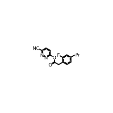 CC(C)c1ccc(CC(=O)Oc2ccc(C#N)nn2)c(F)c1